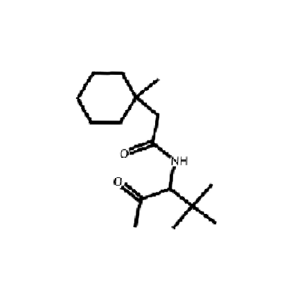 CC(=O)C(NC(=O)CC1(C)CCCCC1)C(C)(C)C